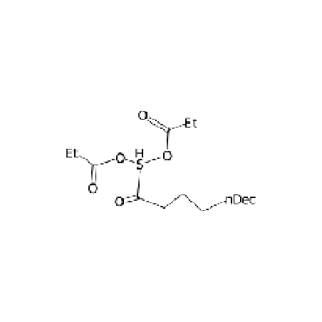 CCCCCCCCCCCCCC(=O)[SH](OC(=O)CC)OC(=O)CC